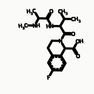 CNC(C)C(=O)NC(C(=O)N1CCc2cc(F)ccc2C1C(=O)O)C(C)C